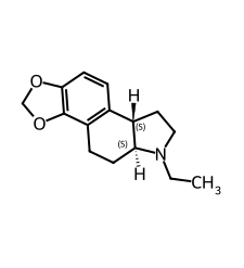 CCN1CC[C@H]2c3ccc4c(c3CC[C@@H]21)OCO4